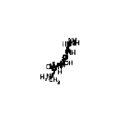 C[C@H](N)CCCc1cc(Cl)c(F)c(-c2cc3c([nH]2)=NC(O)N(c2ccc([C@@H]4CC(CCNC(=N)N)CN4)cc2)C=3)c1